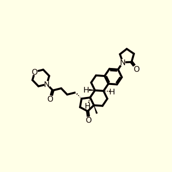 C[C@]12CC[C@@H]3c4ccc(N5CCCC5=O)cc4CC[C@H]3[C@@H]1[C@@H](CCCC(=O)N1CCOCC1)CC2=O